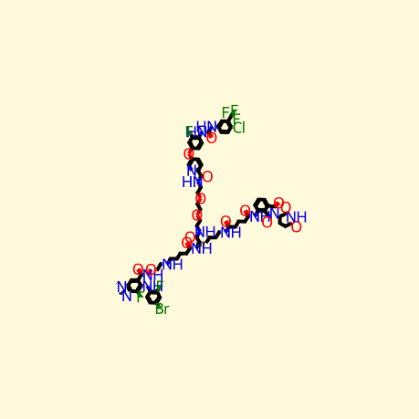 Cn1cnc2c(F)c(Nc3ccc(Br)cc3F)c(C(=O)NOCCNCCCCC(=O)N[C@@H](CCCCNC(=O)CCCC(=O)Nc3cccc4c3C(=O)N(C3CCC(=O)NC3=O)C4=O)C(=O)NCCOCCOCCNC(=O)c3ccc(Oc4ccc(NC(=O)Nc5ccc(Cl)c(C(F)(F)F)c5)c(F)c4)cn3)cc21